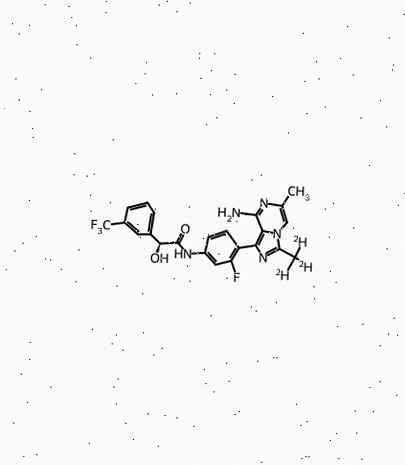 [2H]C([2H])([2H])c1nc(-c2ccc(NC(=O)[C@@H](O)c3cccc(C(F)(F)F)c3)cc2F)c2c(N)nc(C)cn12